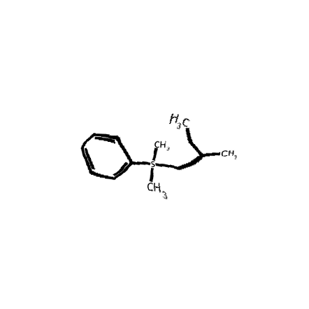 CC(C)CS(C)(C)c1ccccc1